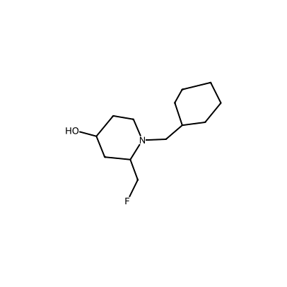 OC1CCN(CC2CCCCC2)C(CF)C1